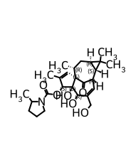 CC1=C[C@]23C(=O)[C@@H](C=C(CO)[C@@H](O)[C@]2(O)[C@H]1OC(=O)N1CCCC1C)[C@@H]1[C@@H](C[C@H]3C)C1(C)C